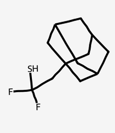 FC(F)(S)CC12CC3CC(CC(C3)C1)C2